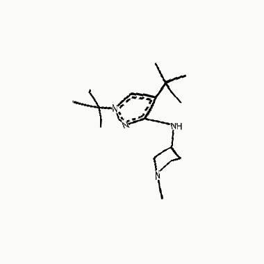 CN1CC(Nc2nn(C(C)(C)C)cc2C(C)(C)C)C1